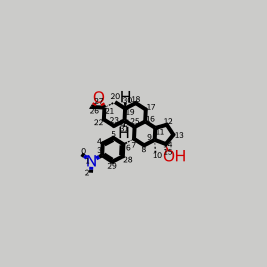 CN(C)c1ccc([C@H]2C[C@@]3(C)C(CC[C@@H]3O)C3CC[C@H]4C[C@]5(CC[C@@H]4C32)CO5)cc1